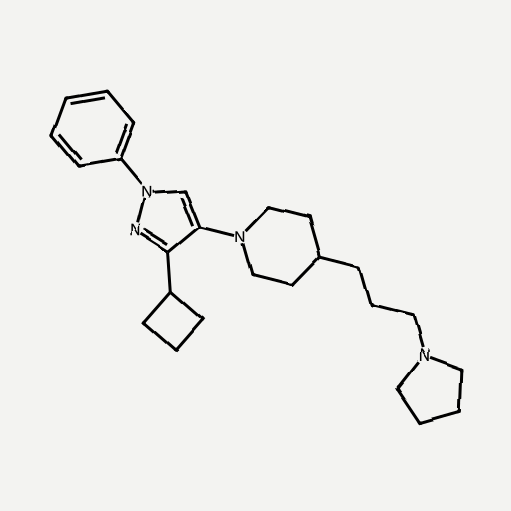 c1ccc(-n2cc(N3CCC(CCCN4CCCC4)CC3)c(C3CCC3)n2)cc1